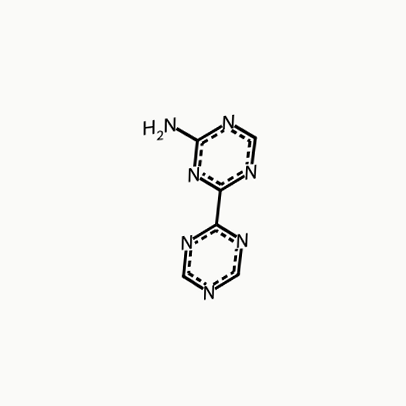 Nc1ncnc(-c2ncncn2)n1